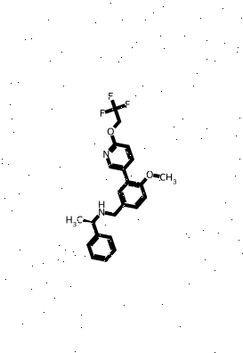 COc1ccc(CN[C@H](C)c2ccccc2)cc1-c1ccc(OCC(F)(F)F)nc1